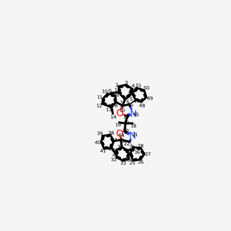 Cc1ccccc1C1(c2ccccc2C)OC(C(C)(C)C2=N[C@H](c3ccccc3)C(c3ccccc3C)(c3ccccc3C)O2)=N[C@@H]1c1ccccc1